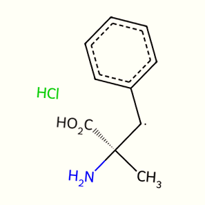 C[C@@](N)([CH]c1ccccc1)C(=O)O.Cl